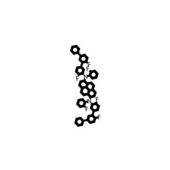 Fc1ccc(-c2ccccc2)cc1-c1ccc(F)c(N(c2ccccc2F)c2ccc3ccc4c(N(c5ccccc5F)c5cc(-c6cc(-c7ccccc7)ccc6F)ccc5F)ccc5ccc2c3c54)c1